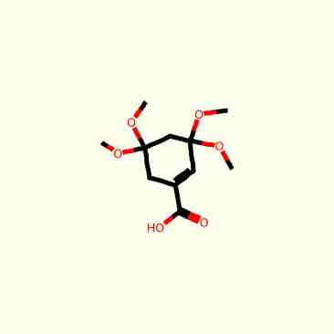 COC1(OC)C=C(C(=O)O)CC(OC)(OC)C1